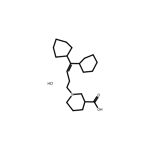 Cl.O=C(O)C1CCCN(CCC=C(C2CCCCC2)C2CCCCC2)C1